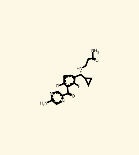 NC(=O)CCN[C@@H](c1ccc(Cl)c(C(=O)c2cnc(N)cn2)c1F)C1CC1